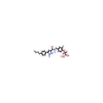 CCCCc1ccc(-c2cc(C(=O)NCc3ccc(OC(C)(C)C(=O)O)c(C)c3)nn2C)cc1